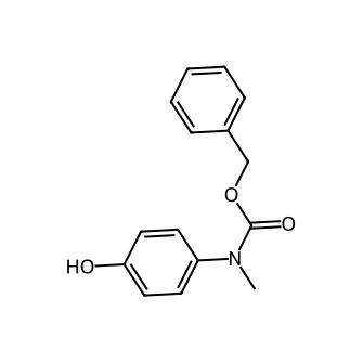 CN(C(=O)OCc1ccccc1)c1ccc(O)cc1